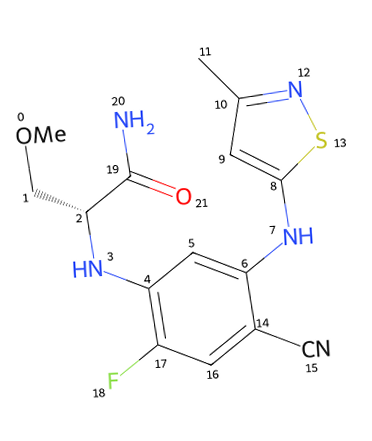 COC[C@@H](Nc1cc(Nc2cc(C)ns2)c(C#N)cc1F)C(N)=O